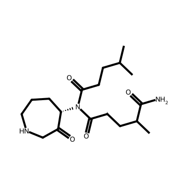 CC(C)CCC(=O)N(C(=O)[CH]CC(C)C(N)=O)[C@H]1CCCNCC1=O